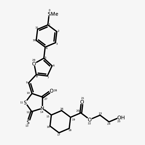 CSc1ccc(-c2ccc(/C=C3/SC(=S)N(C4CCCC(C(=O)OCCO)C4)C3=O)o2)cc1